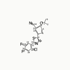 CC(C)Oc1ccc(-c2nnc(-c3cc(F)c(F)cc3Cl)s2)cc1C#N